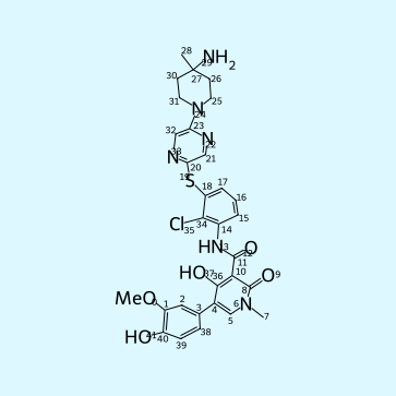 COc1cc(-c2cn(C)c(=O)c(C(=O)Nc3cccc(Sc4cnc(N5CCC(C)(N)CC5)cn4)c3Cl)c2O)ccc1O